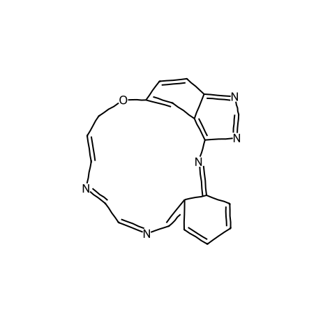 C1=N\C=c2/cccc/c2=N\c2ncnc3ccc(cc23)OC/C=C/N=C/1